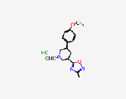 Cc1noc(C2CC(c3ccc(OC(F)(F)F)cc3)CN(C=O)C2)n1.Cl